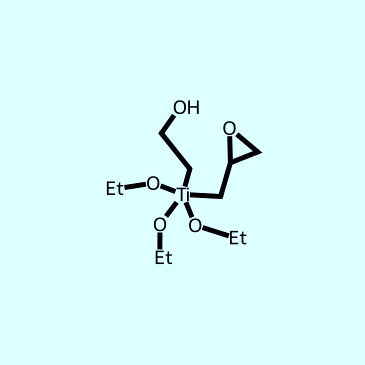 CC[O][Ti]([CH2]CO)([CH2]C1CO1)([O]CC)[O]CC